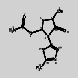 CC(C)(C)C1SC(OC(N)=O)N(c2nnc(C(F)(F)F)s2)C1=O